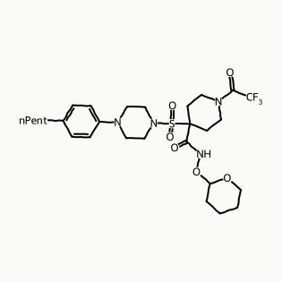 CCCCCc1ccc(N2CCN(S(=O)(=O)C3(C(=O)NOC4CCCCO4)CCN(C(=O)C(F)(F)F)CC3)CC2)cc1